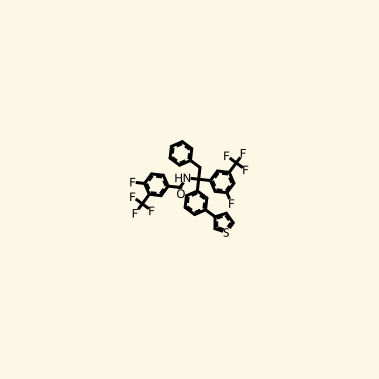 O=C(NC(Cc1ccccc1)(c1cccc(-c2ccsc2)c1)c1cc(F)cc(C(F)(F)F)c1)c1ccc(F)c(C(F)(F)F)c1